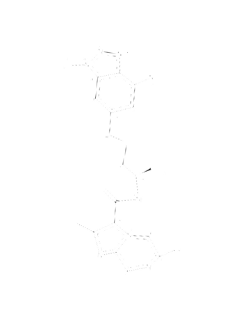 Cc1nc2cnc(Br)cn2c1C(=O)N[C@H](C)COCc1cc(N)c2nnn(C)c2c1